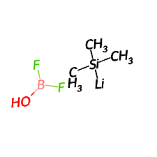 OB(F)F.[Li][Si](C)(C)C